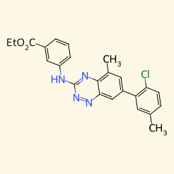 CCOC(=O)c1cccc(Nc2nnc3cc(-c4cc(C)ccc4Cl)cc(C)c3n2)c1